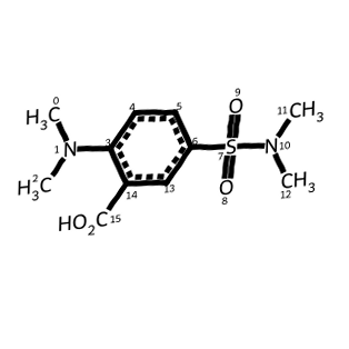 CN(C)c1ccc(S(=O)(=O)N(C)C)cc1C(=O)O